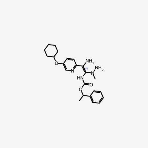 CC(OC(=O)N/C(=C(/N)c1ccc(OC2CCCCC2)cn1)N(C)N)c1ccccc1